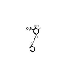 O=[N+]([O-])c1ccc(OCCOc2ccccc2)cc1[N+](=O)[O-]